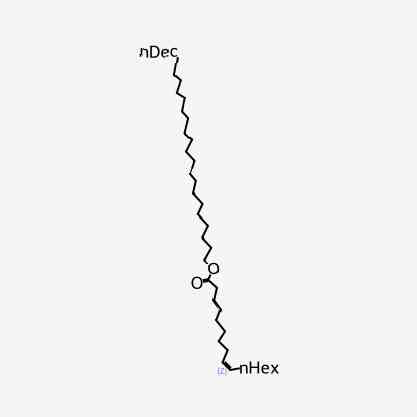 CCCCCC/C=C\CCCCCCCC(=O)OCCCCCCCCCCCCCCCCCCCCCCCCCCCCCC